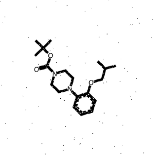 CC(C)COc1ccccc1N1CCN(C(=O)OC(C)(C)C)CC1